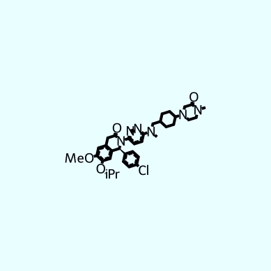 COc1cc2c(cc1OC(C)C)[C@H](c1ccc(Cl)cc1)N(c1ccc(N(C)CC3CCC(N4CCN(C)C(=O)C4)CC3)nn1)C(=O)C2